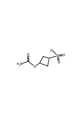 NC(=O)OC1CN(S(=O)(=O)Cl)C1